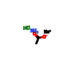 CC(=O)[O-].Cl.N.[Na+]